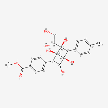 COC(=O)c1ccc(C2C(O)[C@@]3(O)C(c4ccc(C)cc4)[C@@](O)([C@H](O)CO)[C@@]23O)cc1